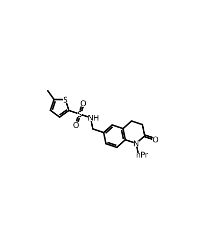 CCCN1C(=O)CCc2cc(CNS(=O)(=O)c3ccc(C)s3)ccc21